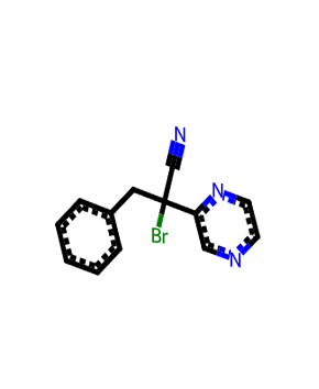 N#CC(Br)(Cc1ccccc1)c1cnccn1